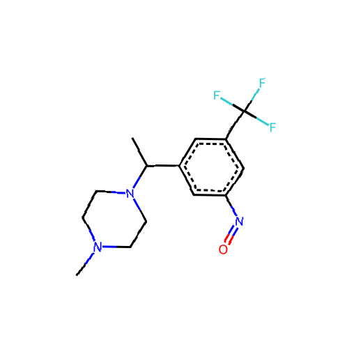 CC(c1cc(N=O)cc(C(F)(F)F)c1)N1CCN(C)CC1